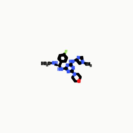 Cn1cnc(Nc2nc(N[C@H](CNC(=O)O)c3ccc(F)cc3)nc(N3CCOCC3)n2)c1